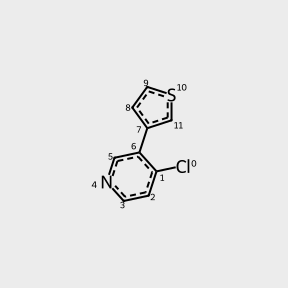 Clc1ccncc1-c1ccsc1